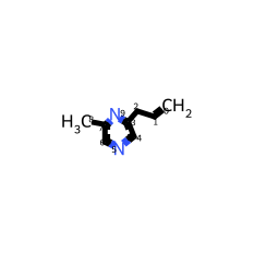 C=CCc1cncc(C)n1